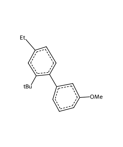 CCc1ccc(-c2cccc(OC)c2)c(C(C)(C)C)c1